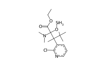 CCOC(=O)C(O[SiH3])(N(C)C)C(C)(c1cccnc1Cl)C(C)(C)C